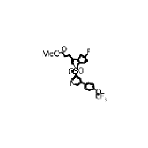 COC(=O)CCc1cn(S(=O)(=O)c2cncc(-c3ccc(OC(F)(F)F)cc3)c2)c2ccc(F)cc12